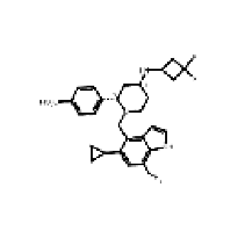 Cc1cc(C2CC2)c(CN2CC[C@H](NC3CC(F)(F)C3)C[C@H]2c2ccc(C(=O)O)cc2)c2cc[nH]c12